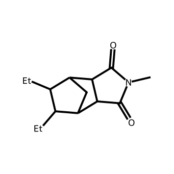 CCC1C(CC)C2CC1C1C(=O)N(C)C(=O)C21